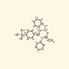 CN(Cc1ccccc1)CC1Cc2ccccc2C1Oc1ccc(C(F)(F)F)cc1